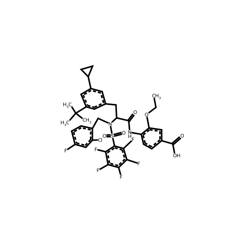 CCOc1cc(C(=O)O)ccc1NC(=O)C(Cc1cc(C2CC2)cc(C(C)(C)C)c1)N(Cc1ccc(F)cc1Cl)S(=O)(=O)c1c(F)c(F)c(F)c(F)c1F